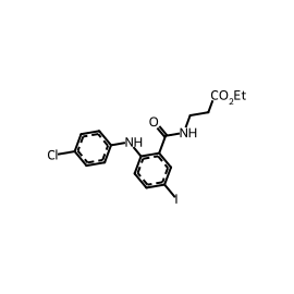 CCOC(=O)CCNC(=O)c1cc(I)ccc1Nc1ccc(Cl)cc1